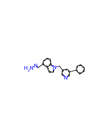 NN=Cc1cccc2c1ccn2Cc1cncc(-c2ccccc2)c1